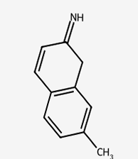 Cc1ccc2c(c1)CC(=N)C=C2